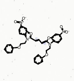 O=[N+]([O-])c1ccc2c(c1)O/C(=C\C=C\c1oc3cc([N+](=O)[O-])ccc3[n+]1CCOc1ccccc1)N2CCOc1ccccc1